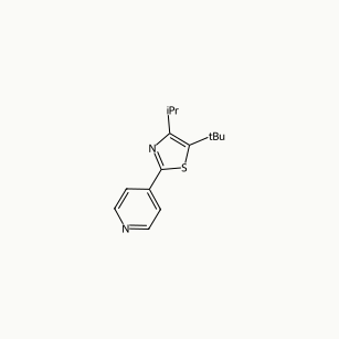 CC(C)c1nc(-c2ccncc2)sc1C(C)(C)C